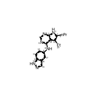 CCCc1[nH]c2ncnc(Nc3ccc4[nH]ncc4c3)c2c1CC